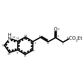 CCOC(=O)CC(=O)/C=C/c1ccc2cc[nH]c2c1